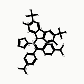 Cc1cc2c(cc1C(C)(C)C)-c1cc(C(C)(C)C)c(C)cc1[CH]2[Zr]([C]1=CC=CC1)=[C](c1ccc(C(C)C)cc1)c1ccc(C(C)C)cc1